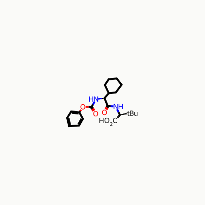 CC(C)(C)[C@H](NC(=O)[C@@H](NC(=O)Oc1ccccc1)C1CCCCC1)C(=O)O